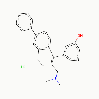 CN(C)CC1=C(c2cccc(O)c2)c2ccc(-c3ccccc3)cc2CC1.Cl